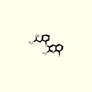 Cc1nc2c(F)cccc2cc1Oc1ccccc1CC(C)O